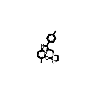 Cc1ccc(-c2nc3ccc(C)cn3c2CN2CCOC2=O)cc1